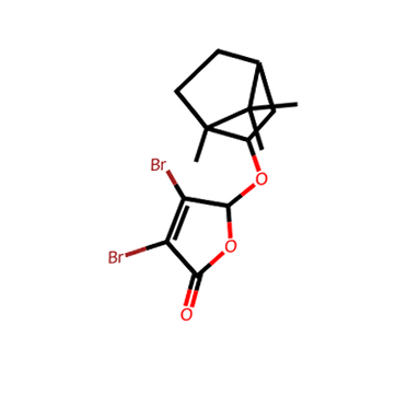 CC1(C)C2CCC1(C)C(OC1OC(=O)C(Br)=C1Br)C2